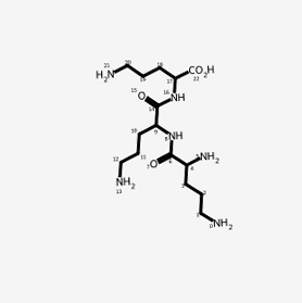 NCCCC(N)C(=O)NC(CCCN)C(=O)NC(CCCN)C(=O)O